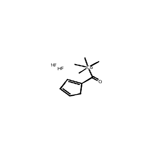 F.F.[CH3][Co]([CH3])([CH3])([CH3])[C](=O)C1=CC=CC1